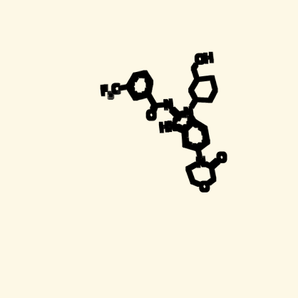 O=C(/N=c1\[nH]c2cc(N3CCOCC3=O)ccc2n1C1CCCC(CO)C1)c1cccc(C(F)(F)F)c1